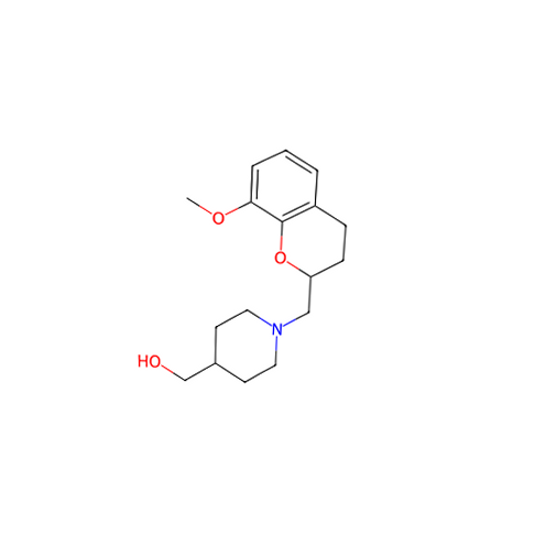 COc1cccc2c1OC(CN1CCC(CO)CC1)CC2